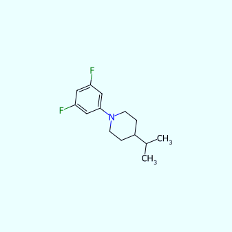 CC(C)C1CCN(c2cc(F)cc(F)c2)CC1